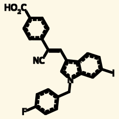 N#C/C(=C\c1cn(Cc2ccc(F)cc2)c2cc(I)ccc12)c1ccc(C(=O)O)cc1